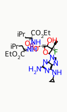 C#C[C@]1(F)C(O)[C@@H](COP(=O)(N[C@@H](CC(C)C)C(=O)OCC)N[C@H](CC(C)C)C(=O)OCC)OC1n1cnc2c(NC3CC3)nc(N)nc21